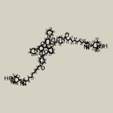 CC1(C)CC(n2cc(CCCCCCCCC(=O)N3CCN(C(=O)COc4cccc(OCC(=O)N5CCN(C(=O)CCCCCCCCc6cn(C7CC(C)(C)N(O)C(C)(C)C7)nn6)CC5)c4-c4c5ccc(=[N+]6CCCCC6)cc-5oc5cc(N6CCCCC6)ccc45)CC3)nn2)CC(C)(C)N1O